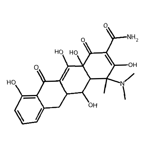 CN(C)C1(C)C(O)=C(C(N)=O)C(=O)C2(O)C(O)=C3C(=O)c4c(O)cccc4CC3C(O)C21